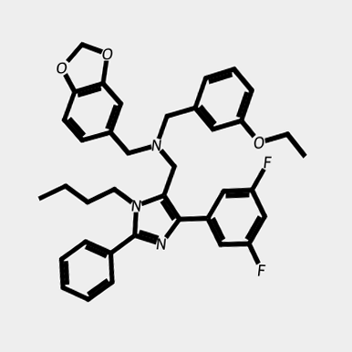 CCCCn1c(-c2ccccc2)nc(-c2cc(F)cc(F)c2)c1CN(Cc1cccc(OCC)c1)Cc1ccc2c(c1)OCO2